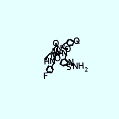 C#CCN(C(=O)NCc1ccc(F)cc1)N1CC(=O)N2[C@@H](Cc3ccc(OC)cc3)C(=O)N(Cc3cccc4sc(N)nc34)C[C@@H]21